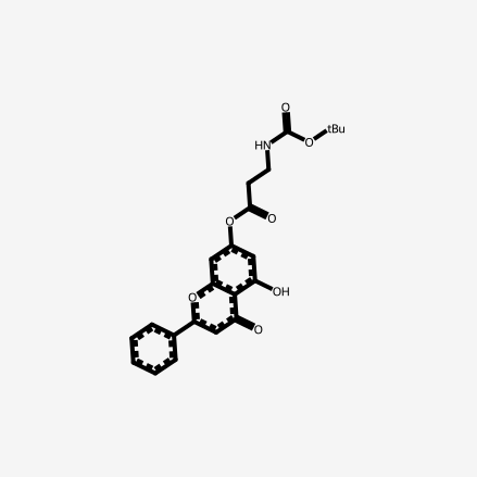 CC(C)(C)OC(=O)NCCC(=O)Oc1cc(O)c2c(=O)cc(-c3ccccc3)oc2c1